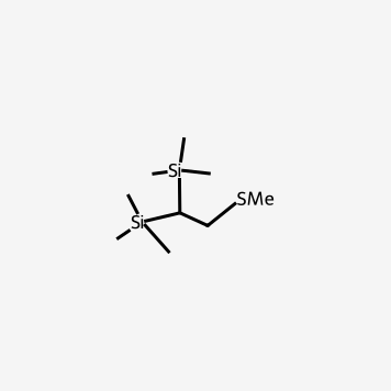 CSCC([Si](C)(C)C)[Si](C)(C)C